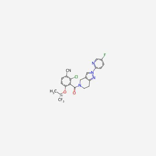 C[C@H](Oc1ccc(C#N)c(Cl)c1C(=O)N1CCc2nn(-c3ccc(F)cn3)cc2C1)C(F)(F)F